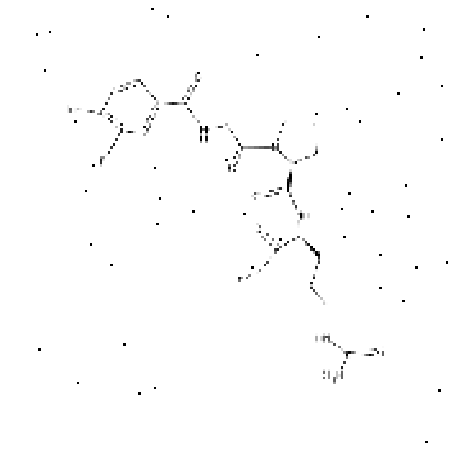 N=C(N)NCCC[C@H](NC(=O)[C@@H]1CCCN1C(=O)CNC(=O)c1ccc(Br)c(F)c1)C(=O)CF